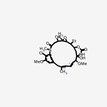 CCC1C2CC(O)(NC(=O)O2)C(OC)/C=C/C=C(\C)Cc2cc(OC)c(Cl)c(c2)N(C)C(=O)CC(O)C2(C)OC12